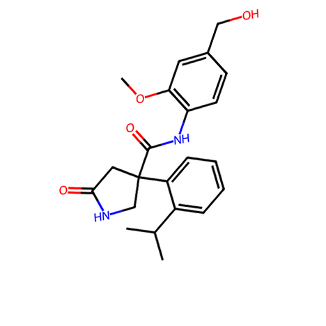 COc1cc(CO)ccc1NC(=O)C1(c2ccccc2C(C)C)CNC(=O)C1